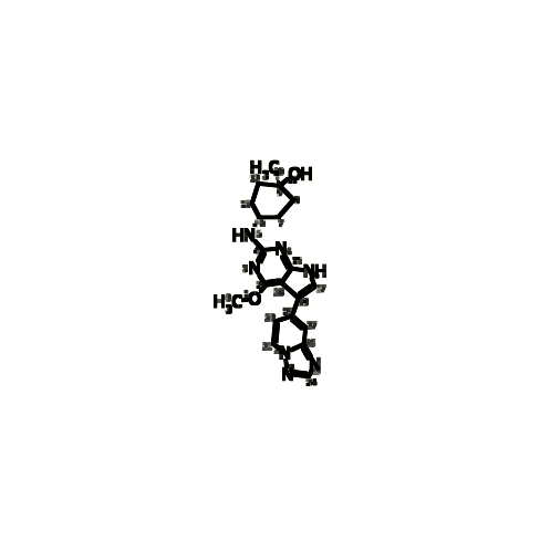 COc1nc(N[C@H]2CC[C@](C)(O)CC2)nc2[nH]cc(-c3ccn4ncnc4c3)c12